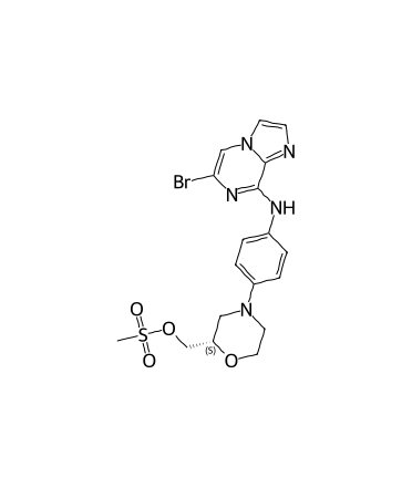 CS(=O)(=O)OC[C@@H]1CN(c2ccc(Nc3nc(Br)cn4ccnc34)cc2)CCO1